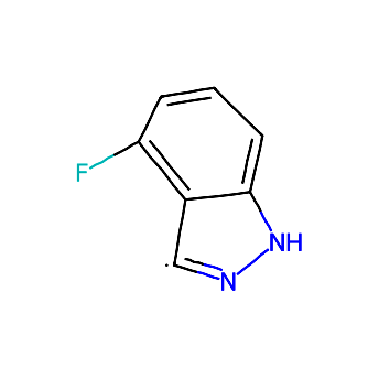 Fc1cccc2[nH]n[c]c12